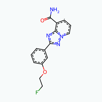 NC(=O)c1[c]ccn2nc(-c3cccc(OCCF)c3)nc12